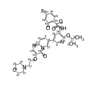 CC(C)Oc1ncc(-c2ccc3ncc(OCCN4CCOCC4)c(=O)n3c2)cc1NS(=O)(=O)c1ccc(F)cc1Cl